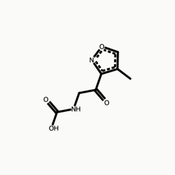 Cc1conc1C(=O)CNC(=O)O